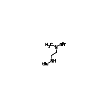 CCCN(C)CCNC(C)(C)C